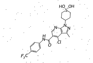 Cc1nn(C2CCS(O)(O)CC2)c2ncc(C(=O)Nc3ccc(C(F)(F)F)cc3)c(Cl)c12